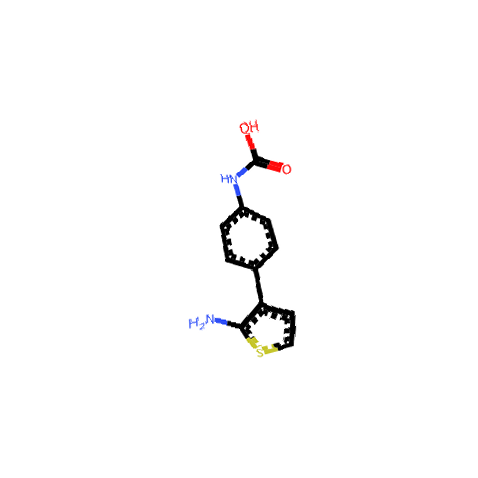 Nc1sccc1-c1ccc(NC(=O)O)cc1